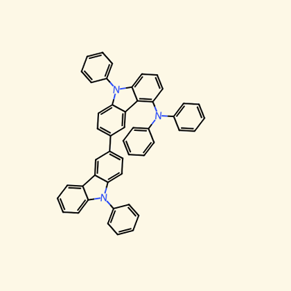 c1ccc(N(c2ccccc2)c2cccc3c2c2cc(-c4ccc5c(c4)c4ccccc4n5-c4ccccc4)ccc2n3-c2ccccc2)cc1